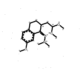 COc1ccc2c(c1)C(=NN(C)C)C(CC(OC)OC)CC2